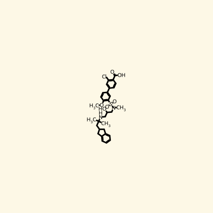 COc1ccc(-c2ccc(C(=O)O)c(Cl)c2)cc1S(=O)(=O)N(C)CC(O)CNC(C)(C)CC1Cc2ccccc2C1